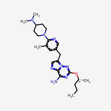 CCC[C@@H](C)Oc1nc(N)c2ncc(Cc3cnc(N4CCC(N(C)C)CC4)c(C)c3)n2n1